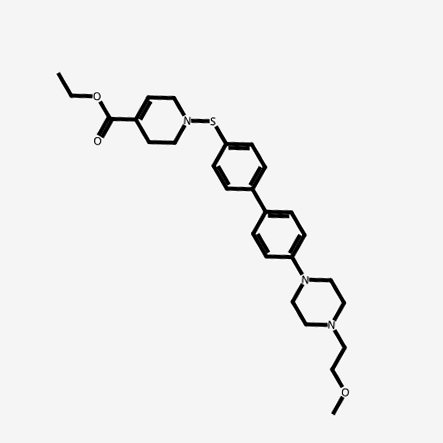 CCOC(=O)C1=CCN(Sc2ccc(-c3ccc(N4CCN(CCOC)CC4)cc3)cc2)CC1